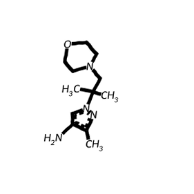 Cc1nn(C(C)(C)CN2CCOCC2)cc1N